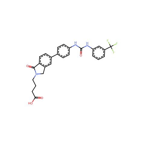 O=C(O)CCCN1Cc2cc(-c3ccc(NC(=O)Nc4cccc(C(F)(F)F)c4)cc3)ccc2C1=O